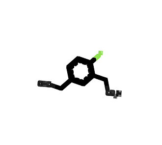 O=CCc1ccc(F)c(CC(=O)O)c1